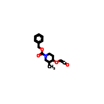 CC1CN(C(=O)OCc2ccccc2)CCC1OC=C=O